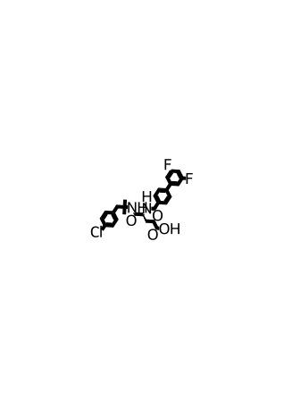 CC(C)(Cc1ccc(Cl)cc1)NC(=O)[C@H](CCC(=O)O)NC(=O)c1ccc(-c2cc(F)cc(F)c2)cc1